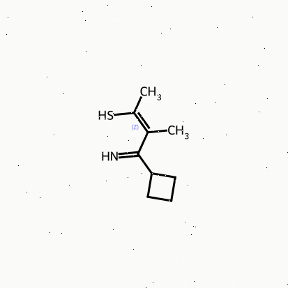 C/C(S)=C(\C)C(=N)C1CCC1